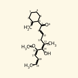 C=C1CCCCC1C(=O)/C=C/C\C(C)=C(O)/C(=C\C=C/C)OC